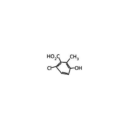 Cc1c(O)ccc(Cl)c1C(=O)O